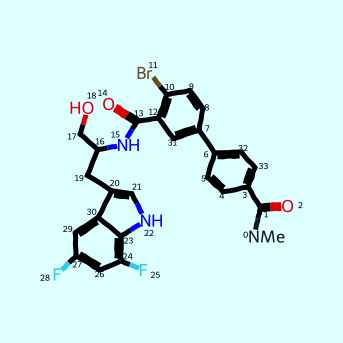 CNC(=O)c1ccc(-c2ccc(Br)c(C(=O)NC(CO)Cc3c[nH]c4c(F)cc(F)cc34)c2)cc1